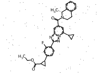 CCOC(=O)C1CC1c1ccc(-c2nc3cc(C(=O)N4CCc5ccccc5[C@H]4C)cc(C4CC4)n3n2)c(F)c1